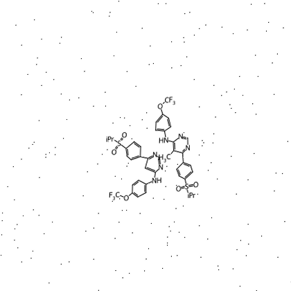 CC(C)S(=O)(=O)c1ccc(-c2cc(Nc3ccc(OC(F)(F)F)cc3)ncn2)cc1.Cc1c(Nc2ccc(OC(F)(F)F)cc2)ncnc1-c1ccc(S(=O)(=O)C(C)C)cc1